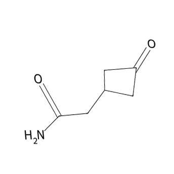 NC(=O)CC1CC(=O)C1